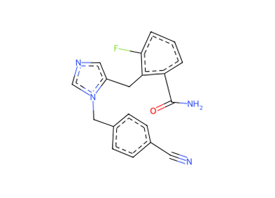 N#Cc1ccc(Cn2cncc2Cc2c(F)cccc2C(N)=O)cc1